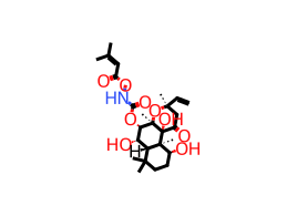 C=C[C@@]1(C)CC(=O)[C@]2(O)[C@@]3(C)[C@@H](O)CCC(C)(C)[C@@H]3[C@H](O)[C@H](OC(=O)NOC(=O)C=C(C)C)[C@@]2(C)O1